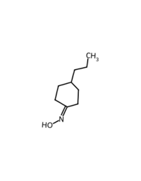 CCCC1CCC(=NO)CC1